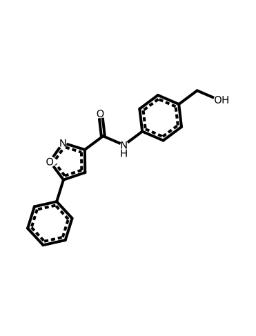 O=C(Nc1ccc(CO)cc1)c1cc(-c2ccccc2)on1